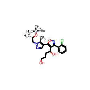 C[C@@H](Cn1ncc(-c2onc(-c3ccccc3Cl)c2C(O)CCCO)c1C(F)(F)F)O[Si](C)(C)C(C)(C)C